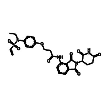 C=CS(=O)(=O)N(CC)c1ccc(OCCC(=O)Nc2cccc3c2C(=O)N(C2CCC(=O)NC2=O)C3=O)cc1